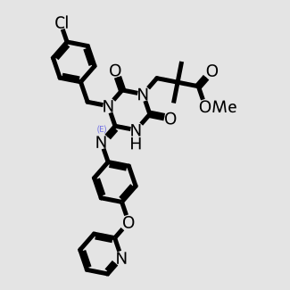 COC(=O)C(C)(C)Cn1c(=O)[nH]/c(=N\c2ccc(Oc3ccccn3)cc2)n(Cc2ccc(Cl)cc2)c1=O